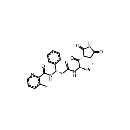 CC(C)[C@@H](NC(=O)C[C@H](NC(=O)c1ncccc1F)c1ccccc1)C(=O)[C@@H]1C(=O)NC(=O)[C@@H]1C